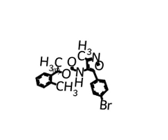 Cc1ccccc1[C@@H](C)OC(=O)Nc1c(C)noc1-c1ccc(Br)cc1